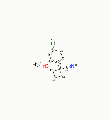 COc1cc(Cl)ccc1C1(C#N)CCC1